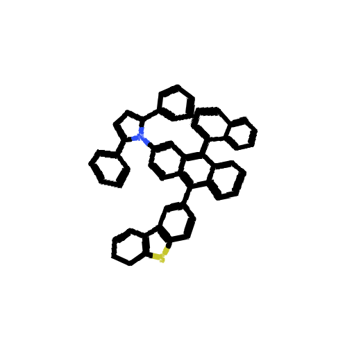 C1=Cc2c(sc3ccc(-c4c5ccccc5c(-c5cccc6ccccc56)c5cc(N6C(c7ccccc7)=CCC6c6ccccc6)ccc45)cc23)CC1